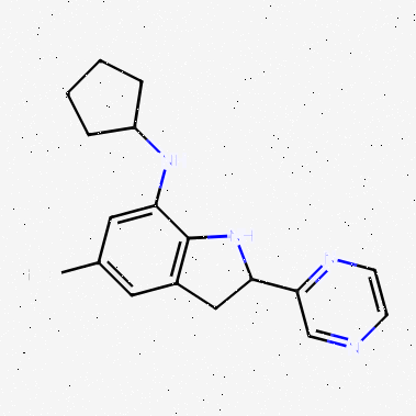 Cc1cc2c(c(NC3CCCC3)c1)NC(c1cnccn1)C2